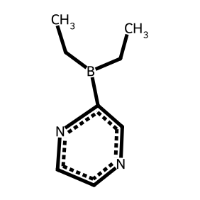 CCB(CC)c1cnccn1